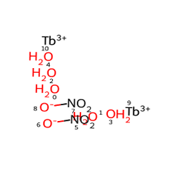 O.O.O.O.O.O=[N+]([O-])[O-].O=[N+]([O-])[O-].[Tb+3].[Tb+3]